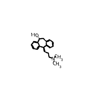 CN(C)CC/C=C1\c2ccccc2C[C@@H](O)c2ccccc21